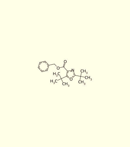 CC(C)(C)c1nc(C(=O)OCc2ccccc2)c(C(C)(C)C)o1